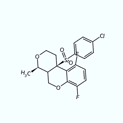 C[C@H]1OCC[C@]2(S(=O)(=O)c3ccc(Cl)cc3)c3c(F)ccc(F)c3OCC12